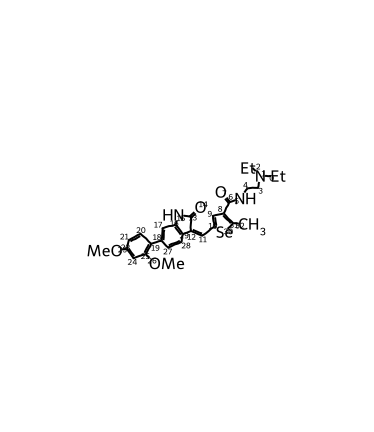 CCN(CC)CCNC(=O)c1cc(C=C2C(=O)Nc3cc(-c4ccc(OC)cc4OC)ccc32)[se]c1C